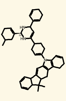 CC1CCC=C([C@@H]2NC(C3CC=C(n4c5c(c6c4C=C4C7C=CC=CC7C(C)(C)C4C6)CCC=C5)CC3)=CC(C3=CCCC=C3)N2)C1